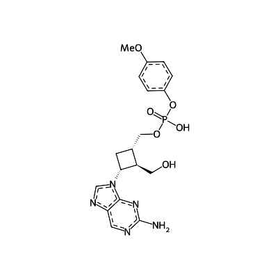 COc1ccc(OP(=O)(O)OC[C@H]2C[C@@H](n3cnc4cnc(N)nc43)[C@@H]2CO)cc1